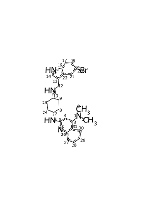 CN(C)c1cc(N[C@H]2CC[C@@H](NCc3c[nH]c4ccc(Br)cc34)CC2)nc2ccccc12